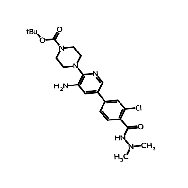 CN(C)NC(=O)c1ccc(-c2cnc(N3CCN(C(=O)OC(C)(C)C)CC3)c(N)c2)cc1Cl